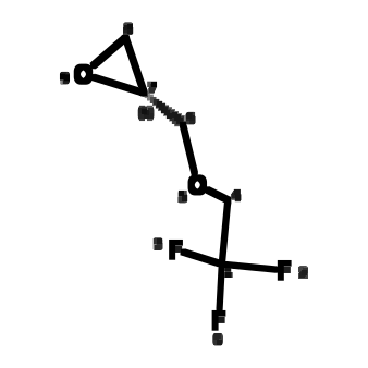 FC(F)(F)COC[C@H]1CO1